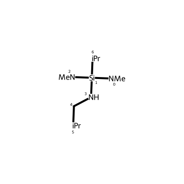 CN[Si](NC)(NCC(C)C)C(C)C